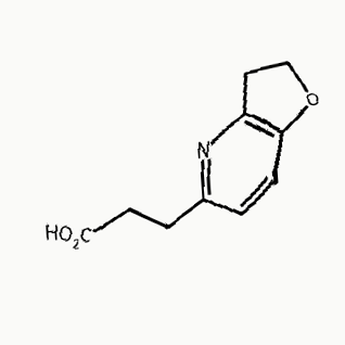 O=C(O)CCc1ccc2c(n1)CCO2